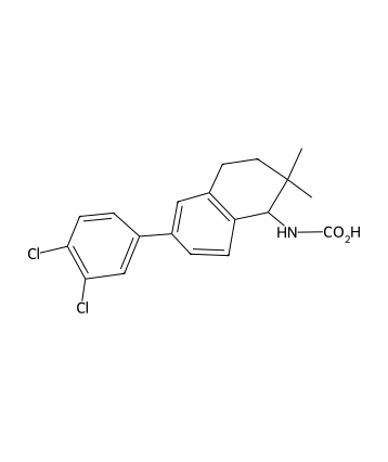 CC1(C)CCc2cc(-c3ccc(Cl)c(Cl)c3)ccc2C1NC(=O)O